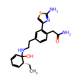 CC[C@@H]1C=CC=CC1(O)NCCc1ccc(CC(N)=O)c(-c2csc(N)n2)c1